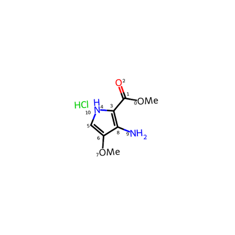 COC(=O)c1[nH]cc(OC)c1N.Cl